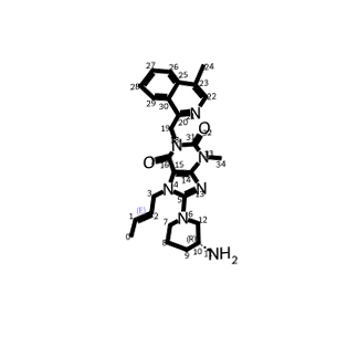 C/C=C/Cn1c(N2CCC[C@@H](N)C2)nc2c1c(=O)n(Cc1ncc(C)c3ccccc13)c(=O)n2C